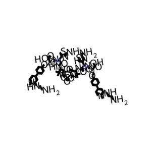 C[n+]1ccc(-c2ccc(OC[C@H](O/N=C(\C(=O)N[C@@H]3C(=O)N(OS(=O)(=O)ON4C(=O)[C@@H](NC(=O)/C(=N\O[C@@H](COc5ccc(-c6cc[n+](C)c(NCCN)c6)cc5)C(=O)O)c5csc(N)n5)C4(C)C)C3(C)C)c3csc(N)n3)C(=O)O)cc2)cc1NCCN